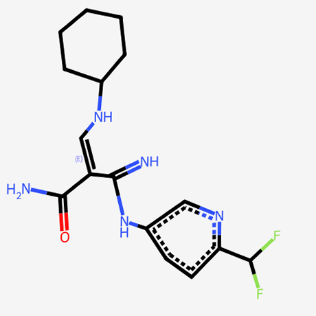 N=C(Nc1ccc(C(F)F)nc1)/C(=C\NC1CCCCC1)C(N)=O